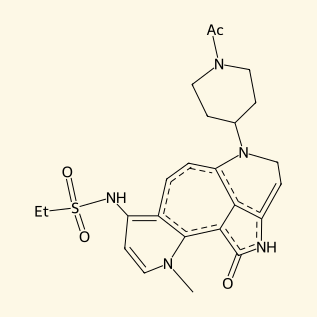 CCS(=O)(=O)NC1=c2ccc3c4c([nH]c(=O)c-4c2N(C)C=C1)=CCN3C1CCN(C(C)=O)CC1